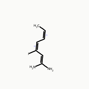 C/C=C\C=C(\I)C=C(N)N